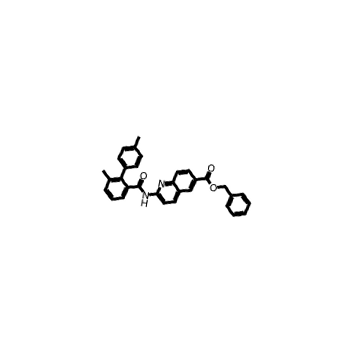 Cc1ccc(-c2c(C)cccc2C(=O)Nc2ccc3cc(C(=O)OCc4ccccc4)ccc3n2)cc1